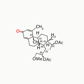 COC[C@H](OC(C)=O)[C@H]1C[C@H](OC(C)=O)[C@@]2(C)CC[C@H]3[C@@H](CCC4=CC(=O)C=C(C)[C@@]43C)[C@H]12